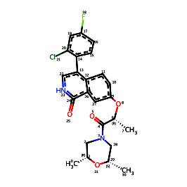 C[C@@H]1CN(C(=O)[C@@H](C)Oc2ccc3c(-c4ccc(F)cc4Cl)c[nH]c(=O)c3c2)C[C@H](C)O1